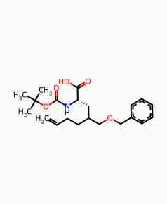 C=CCCC(COCc1ccccc1)C[C@H](NC(=O)OC(C)(C)C)C(=O)O